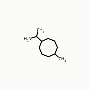 CC1CCCC(C(C)N)CCC1